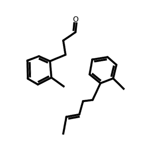 CC=CCCc1ccccc1C.Cc1ccccc1CCC=O